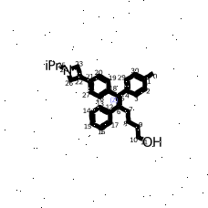 Cc1ccc(/C(=C(\CCCCO)c2ccccc2)c2ccc(C3CN(C(C)C)C3)cc2)cc1